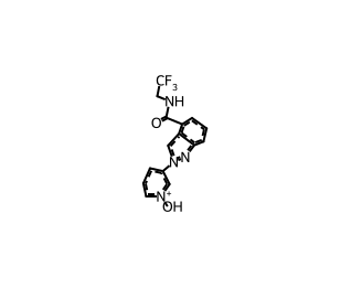 O=C(NCC(F)(F)F)c1cccc2nn(-c3ccc[n+](O)c3)cc12